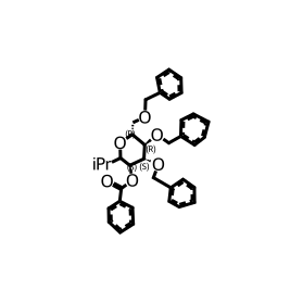 CC(C)C1O[C@H](COCc2ccccc2)[C@@H](OCc2ccccc2)[C@H](OCc2ccccc2)[C@H]1OC(=O)c1ccccc1